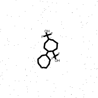 OC(F)(F)C1CCCC(C(O)(F)F)C(C2CCCCCCC2)CC1